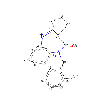 O=C1C2CCCC2=Nc2ccccc2N1Cc1ccccc1F